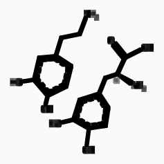 NCCc1ccc(O)c(O)c1.N[C@@H](Cc1ccc(O)c(O)c1)C(=O)O